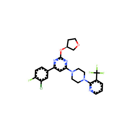 Fc1ccc(-c2cc(N3CCN(c4ncccc4C(F)(F)F)CC3)nc(O[C@H]3CCOC3)n2)cc1Cl